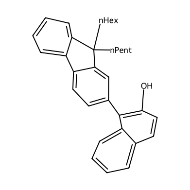 CCCCCCC1(CCCCC)c2ccccc2-c2ccc(-c3c(O)ccc4ccccc34)cc21